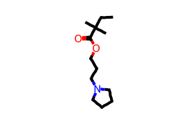 CCC(C)(C)C(=O)OCCCN1CCCC1